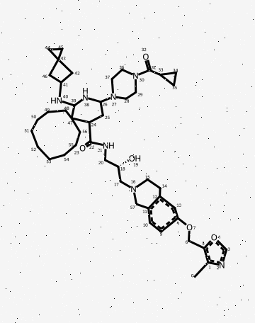 Cc1ncoc1COc1ccc2c(c1)CCN(C[C@@H](O)CNC(=O)C1CC(N3CCN(C(=O)C4CC4)CC3)NC(NC3CC4(CC4)C3)C13CCCCCCCCC3)C2